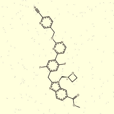 COC(=O)c1ccc2nc(Cc3cc(F)c(-c4ccnc(OCc5ccc(C#N)nc5)n4)cc3F)n(C[C@@H]3CCO3)c2c1